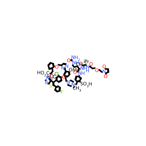 COc1ccccc1-c1nccc(COc2ccccc2C[C@@H](Oc2ncnc3sc(-c4ccc(F)cc4)c(-c4ccc(OCCN5CC[N+](C)(Cc6ccc(NC(=O)[C@@H](NC(=O)[C@@H](NC(=O)CCOCCN7C(=O)C=CC7=O)C(C)C)C(C)CCNC(N)=O)cc6S(=O)(=O)O)CC5)c(Cl)c4C)c23)C(=O)O)n1